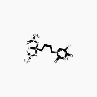 C=P(=O)OP(=O)(C/C=C\Cn1cc(Cl)c(=O)[nH]c1=O)OP(=C)=O